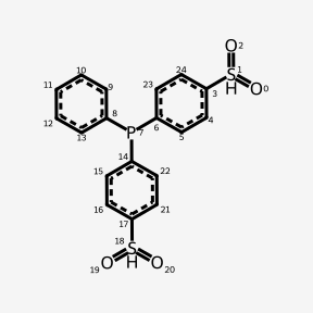 O=[SH](=O)c1ccc(P(c2ccccc2)c2ccc([SH](=O)=O)cc2)cc1